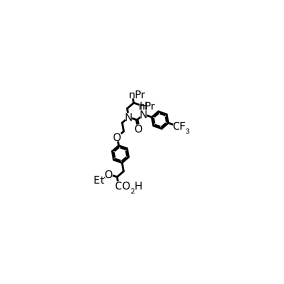 CCCC(CCC)CN(CCOc1ccc(CC(OCC)C(=O)O)cc1)C(=O)Nc1ccc(C(F)(F)F)cc1